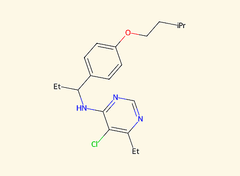 CCc1ncnc(NC(CC)c2ccc(OCCC(C)C)cc2)c1Cl